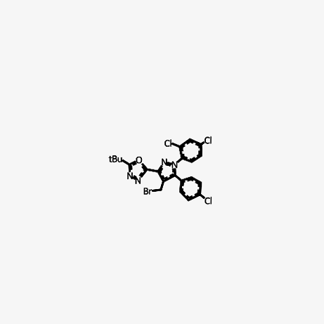 CC(C)(C)c1nnc(-c2nn(-c3ccc(Cl)cc3Cl)c(-c3ccc(Cl)cc3)c2CBr)o1